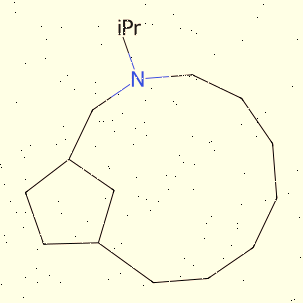 CC(C)N1CCCCCCCC2CCC(C2)C1